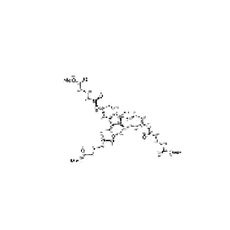 COC(=O)CCCC(=O)Oc1ccc(C(C)(c2ccc(OC(=O)CCCC(=O)OC)cc2)c2ccc(OC(=O)CCCC(=O)OC)cc2)cc1